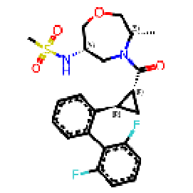 C[C@H]1COC[C@@H](NS(C)(=O)=O)CN1C(=O)[C@@H]1C[C@H]1c1ccccc1-c1c(F)cccc1F